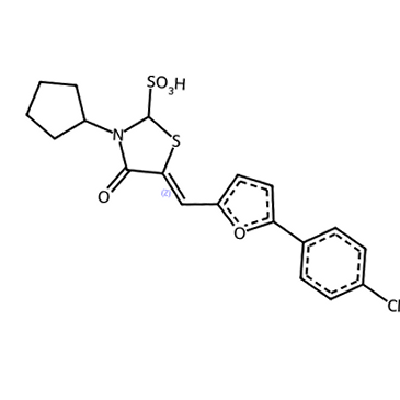 O=C1/C(=C/c2ccc(-c3ccc(Cl)cc3)o2)SC(S(=O)(=O)O)N1C1CCCC1